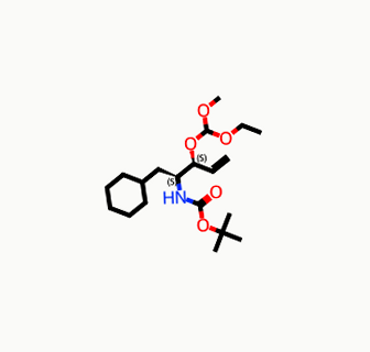 C=C[C@H](OC(OC)OCC)[C@H](CC1CCCCC1)NC(=O)OC(C)(C)C